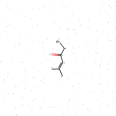 CC(C)=CC(=O)CC(C)C